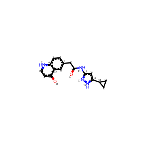 O=C(Cc1ccc2[nH]ccc(=O)c2c1)Nc1cc(C2CC2)[nH]n1